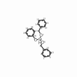 c1ccc(CO[SiH](OCc2ccccc2)Oc2ccccc2)cc1